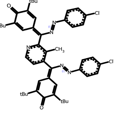 Cc1c(C(/N=N/c2ccc(Cl)cc2)=C2C=C(C(C)(C)C)C(=O)C(C(C)(C)C)=C2)ccnc1C(/N=N/c1ccc(Cl)cc1)=C1C=C(C(C)(C)C)C(=O)C(C(C)(C)C)=C1